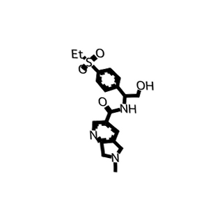 CCS(=O)(=O)c1ccc(C(CO)NC(=O)c2cnc3c(c2)CN(C)C3)cc1